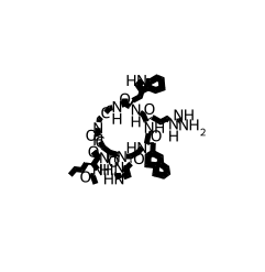 CCCC[C@H](NC(C)=O)C(=O)N[C@H]1CCC(=O)NCCCNC(=O)[C@@H](CCc2c[nH]c3ccccc23)NC(=O)[C@H](CCCNC(=N)N)NC(=O)[C@@H](Cc2ccc3ccccc3c2)NC(=O)[C@H](Cc2c[nH]cn2)NC1=O